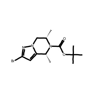 C[C@@H]1c2cc(Br)nn2C[C@H](C)N1C(=O)OC(C)(C)C